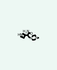 CN1CCN(CC(C(N)=O)c2cc[nH]c2)CC1